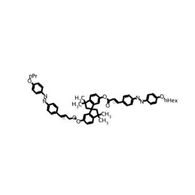 CCCCCCOc1ccc(N=Nc2ccc(/C=C/C(=O)Oc3ccc4c(c3)C3(CC(C)(C)c5ccc(OOC/C=C/c6ccc(N=Nc7ccc(OCCC)cc7)cc6)cc53)CC4(C)C)cc2)cc1